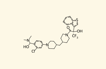 CN(C)C(O)c1ccc(N2CCC(CC3CCN(C(=O)[C@](O)(c4csc5ccccc45)C(F)(F)F)CC3)CC2)cc1Cl